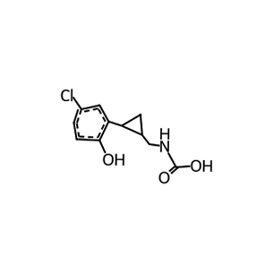 O=C(O)NCC1CC1c1cc(Cl)ccc1O